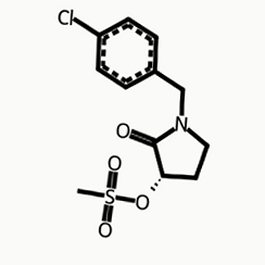 CS(=O)(=O)O[C@H]1CCN(Cc2ccc(Cl)cc2)C1=O